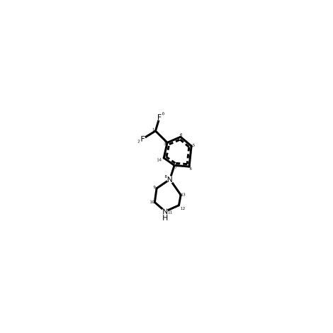 FC(F)c1cccc(N2CCNCC2)c1